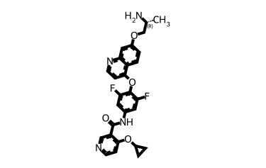 C[C@@H](N)COc1ccc2c(Oc3c(F)cc(NC(=O)c4cnccc4OC4CC4)cc3F)ccnc2c1